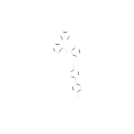 CC(C)Cc1ccc(-c2ccc(COc3ccc(O)c(P4(=O)Oc5ccccc5-c5ccccc54)c3)cc2)cc1